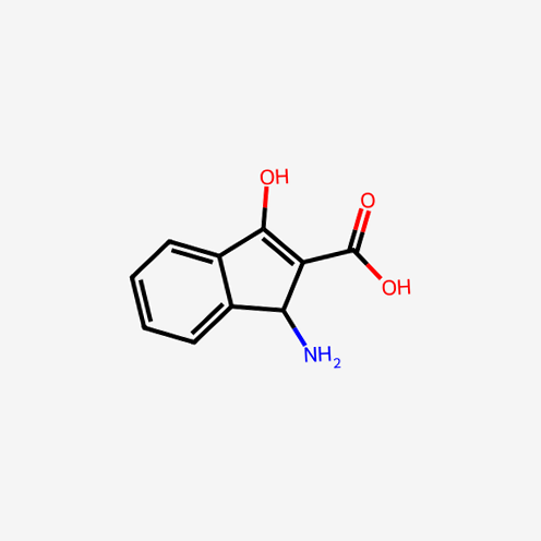 NC1C(C(=O)O)=C(O)c2ccccc21